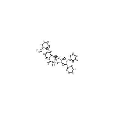 O=C1NC(CCOCc2ccccc2)(CCOCc2ccccc2)Nc2cc(-c3ncccc3C(F)(F)F)ccc21